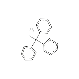 C=PC(c1ccccc1)(c1ccccc1)c1ccccc1